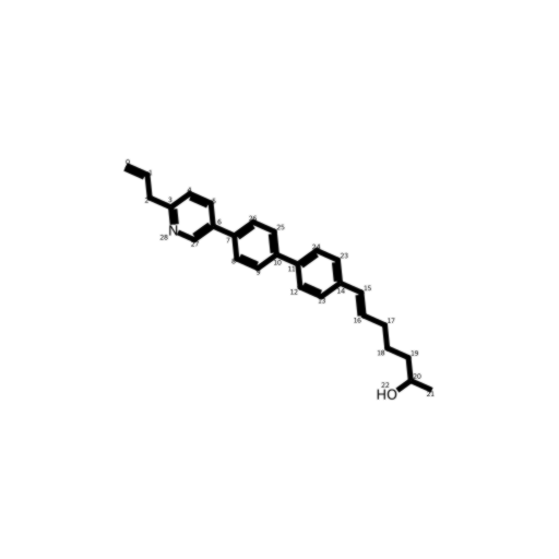 C=CCc1ccc(-c2ccc(-c3ccc(C=CCCCC(C)O)cc3)cc2)cn1